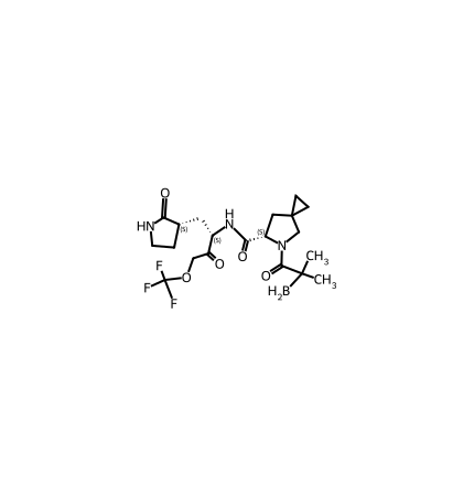 BC(C)(C)C(=O)N1CC2(CC2)C[C@H]1C(=O)N[C@@H](C[C@@H]1CCNC1=O)C(=O)COC(F)(F)F